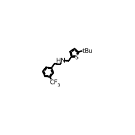 CC(C)(C)c1ccc(CNCCc2cccc(C(F)(F)F)c2)s1